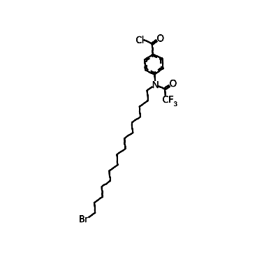 O=C(Cl)c1ccc(N(CCCCCCCCCCCCCCCCBr)C(=O)C(F)(F)F)cc1